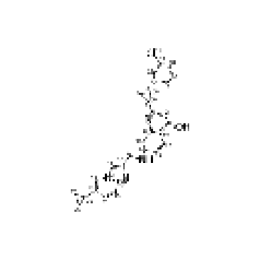 Oc1cc([C@H]2C[C@@H]2c2cccc(Cl)c2)nc2cc(NCc3cn4cc(C5CC5)ccc4n3)ccc12